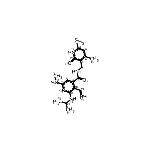 CNc1cc(C(=O)NCc2c(C)cc(C)[nH]c2=O)c(C=N)c(NC(C)C)n1